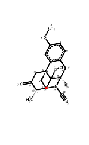 COc1ccc2c(c1)[C@]13CCN(C#N)[C@H](C2)C1(OC)C[C@H](C)C(=O)C3